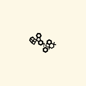 CC1(C)CCC(C)(C)c2c(N(c3ccccc3)c3ccc4c(c3)-c3ccccc3C43C4CC5CC6CC3C64C5)cccc21